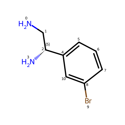 NC[C@@H](N)c1cccc(Br)c1